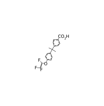 CC(C)(c1ccc(OC(F)=C(F)F)cc1)c1ccc(C(=O)O)cc1